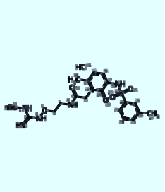 CCCCNC(=N)NOCCNC(=O)Cn1c(C)ccc(NS(=O)(=O)c2cccc(C)c2)c1=O.Cl